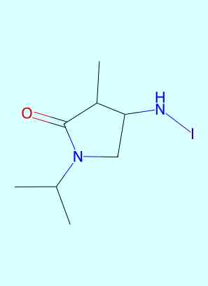 CC1C(=O)N(C(C)C)CC1NI